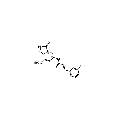 CCOC(=O)C=C[C@H](C[C@@H]1CCNC1=O)NC(=O)C=Cc1cccc(O)c1